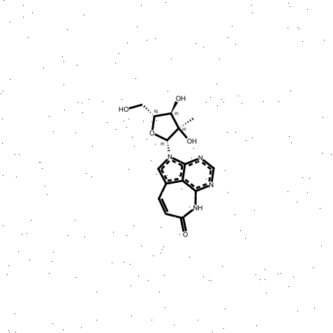 C[C@@]1(O)[C@H](O)[C@@H](CO)O[C@H]1n1cc2c3c(ncnc31)NC(=O)C=C2